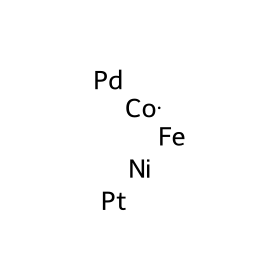 [Co].[Fe].[Ni].[Pd].[Pt]